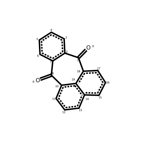 O=C1c2ccccc2C(=O)c2cccc3cccc1c23